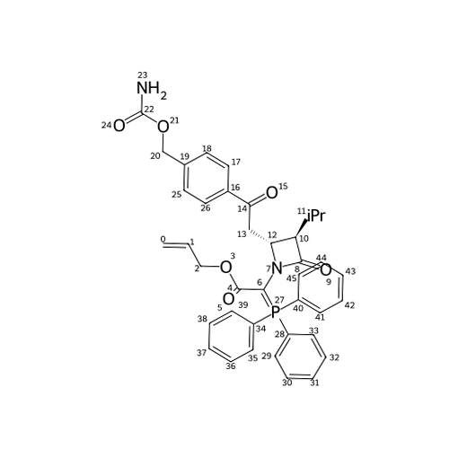 C=CCOC(=O)C(N1C(=O)[C@H](C(C)C)[C@H]1CC(=O)c1ccc(COC(N)=O)cc1)=P(c1ccccc1)(c1ccccc1)c1ccccc1